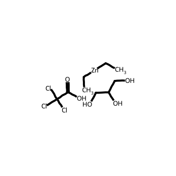 C[CH2][Zn][CH2]C.O=C(O)C(Cl)(Cl)Cl.OCC(O)CO